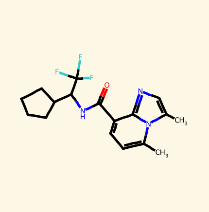 Cc1ccc(C(=O)NC(C2CCCC2)C(F)(F)F)c2ncc(C)n12